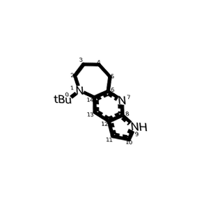 CC(C)(C)N1CCCCc2nc3[nH]ccc3cc21